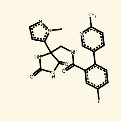 Cn1nccc1C1(CNC(=O)c2cc(F)ccc2-c2ccc(C(F)(F)F)nc2)NC(=O)NC1=O